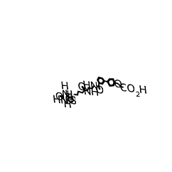 O=C(O)COc1ccc(-c2cccc(C(=O)NCCNC(=O)CCCC[C@@H]3SC[C@@H]4NC(=O)N[C@@H]43)c2)cc1